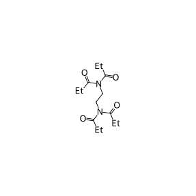 CCC(=O)N(CCN(C(=O)CC)C(=O)CC)C(=O)CC